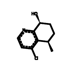 C[C@@H]1CC[C@@H](O)c2nccc(Cl)c21